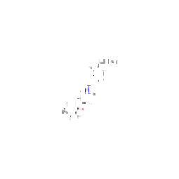 CC(=O)N[C@H]1CC[C@H](CCN2CCC(Oc3ccc(F)cc3)CC2)CC1